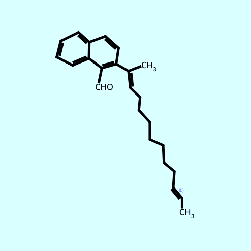 C/C=C/CCCCCCCC=C(C)c1ccc2ccccc2c1C=O